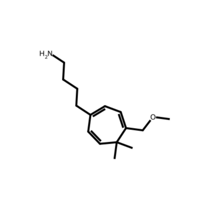 COCC1=CC=C(CCCCN)C=CC1(C)C